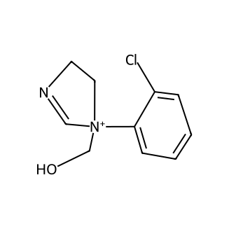 OC[N+]1(c2ccccc2Cl)C=NCC1